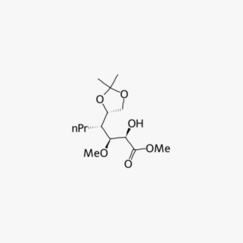 CCC[C@@H]([C@H](OC)[C@@H](O)C(=O)OC)[C@H]1COC(C)(C)O1